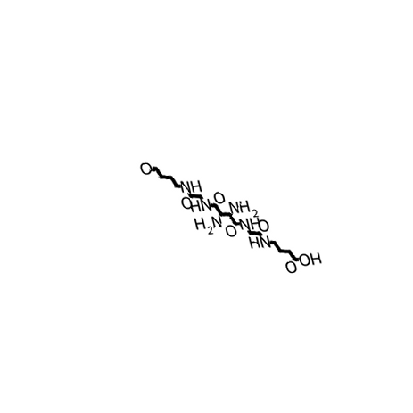 NC(C(=O)NCC(=O)NCCCC=O)C(N)C(=O)NCC(=O)NCCCC(=O)O